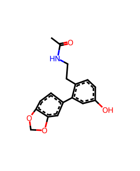 CC(=O)NCCc1ccc(O)cc1-c1ccc2c(c1)OCO2